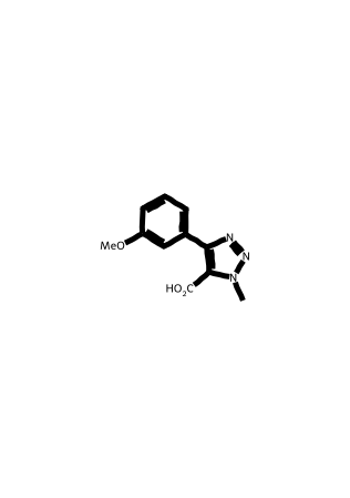 COc1cccc(-c2nnn(C)c2C(=O)O)c1